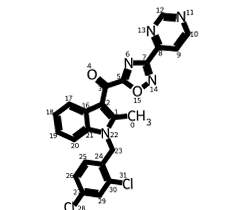 Cc1c(C(=O)c2nc(-c3ccncn3)no2)c2ccccc2n1Cc1ccc(Cl)cc1Cl